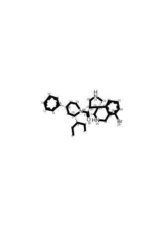 CCC(CC)[C@@H]1C[C@H](c2ccccc2)CCN1C(=O)[C@@H]1CNC[C@]12CNCc1c(Br)cccc12